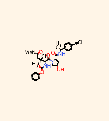 C#Cc1ccc([C@H](C)NC(=O)[C@@H]2C[C@@H](O)CN2C(=O)[C@@H](NC(=O)Oc2ccccc2)C(C)(C)CC(=O)NC)cc1